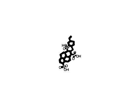 C=Cc1ccc(Cc2c(S(=O)(=O)O)c3ccc4ccc(S(=O)(=O)O)c5ccc(c2S(=O)(=O)O)c3c45)cc1